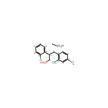 CS(=O)(=O)O.OCC(Cc1ccc(Cl)cc1Cl)c1ccccc1Cl